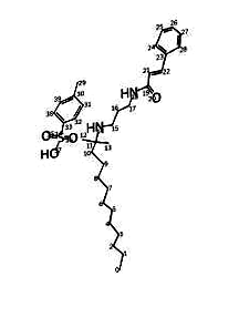 CCCCCCCCCCCC(C)(C)NCCCNC(=O)C=Cc1ccccc1.Cc1ccc(S(=O)(=O)O)cc1